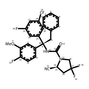 COc1cc([C@@](Cc2ccccc2)(NC(=O)N2CC(F)(F)C[C@H]2C#N)c2cc(F)cc(C(F)(F)F)c2)ccc1F